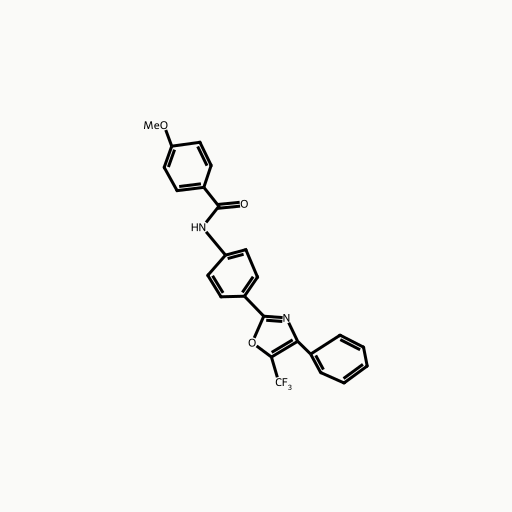 COc1ccc(C(=O)Nc2ccc(-c3nc(-c4ccccc4)c(C(F)(F)F)o3)cc2)cc1